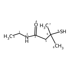 CCNC(=O)CC(C)(C)S